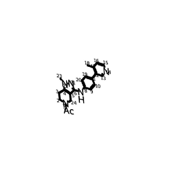 CC(=O)N1CCc2c(c(Nc3ccc(-c4cnccc4C)cc3)nn2C)C1